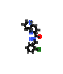 O=C(NCc1ccccc1Cl)c1ccc2ncccc2n1